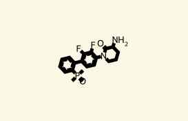 CP(C)(=O)c1ccccc1-c1ccc(N2CCCC(N)C2=O)c(F)c1F